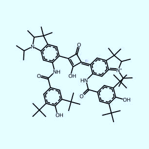 CC(C)N1c2cc(NC(=O)c3cc(C(C)(C)C)c(O)c(C(C)(C)C)c3)c(C3=C(O)/C(=c4/cc5c(cc4NC(=O)c4cc(C(C)(C)C)c(O)c(C(C)(C)C)c4)=[N+](C(C)C)C(C)C5(C)C)C3=O)cc2C(C)(C)C1C